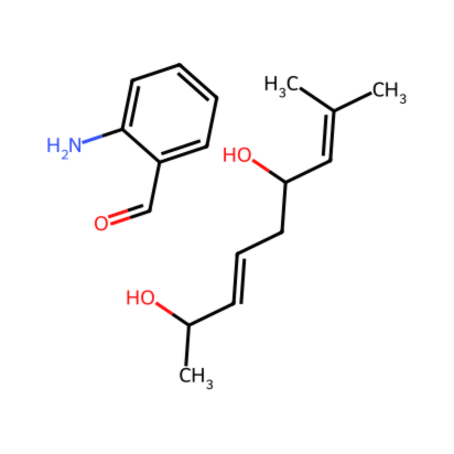 CC(C)=CC(O)CC=CC(C)O.Nc1ccccc1C=O